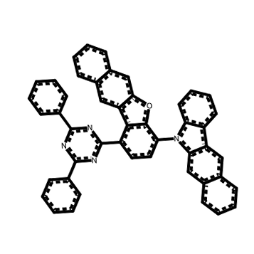 c1ccc(-c2nc(-c3ccccc3)nc(-c3ccc(-n4c5ccccc5c5cc6ccccc6cc54)c4oc5cc6ccccc6cc5c34)n2)cc1